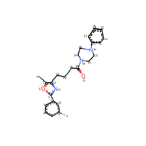 Cc1oc(-c2cccc(F)c2)nc1CCCC(=O)N1CCN(c2ccccc2)CC1